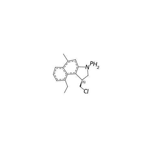 CCc1cccc2c(C)cc3c(c12)[C@H](CCl)CN3P